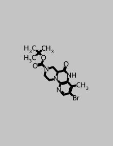 Cc1c(Br)cnc2c1NC(=O)C1CN(C(=O)OC(C)(C)C)CCN21